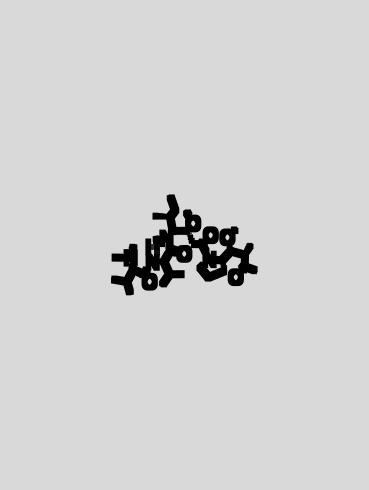 CC[C@H](C)[C@@H]([C@@H](CC(=O)N1CCC[C@H]1[C@H](OC)[C@@H](C)C(C)=O)OC)N(C)C(=O)[C@@H](NC(=O)C(C(C)C)N(C)C)C(C)C